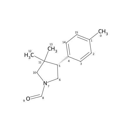 Cc1ccc([C@@H]2CN(C=O)CC2(C)C)cc1